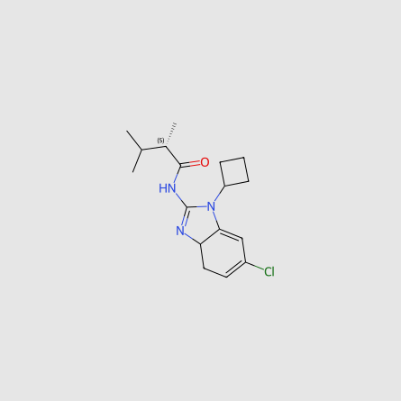 CC(C)[C@H](C)C(=O)NC1=NC2CC=C(Cl)C=C2N1C1CCC1